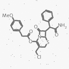 COc1ccc(CC(=O)OC2=C(CCl)CSC3C(C(C(N)=O)c4ccccc4)C(=O)N23)cc1